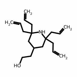 C=CCC1(CC=C)CC(CCO)CC(CC=C)(CC=C)N1